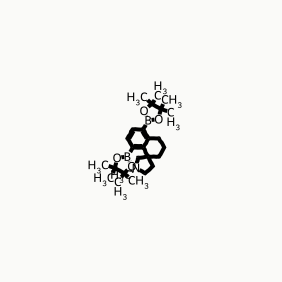 CN1CCC2(CCCc3c(B4OC(C)(C)C(C)(C)O4)ccc(B4OC(C)(C)C(C)(C)O4)c32)C1